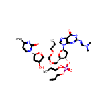 C=CCOP(=O)(OCCC#N)O[C@H]1C[C@H](n2cnc3c(=O)[nH]c(N=CN(C)C)nc32)O[C@@H]1COC(OCCC#N)[C@H]1O[C@@H](n2ccc(NC(C)=O)nc2=O)C[C@@H]1O